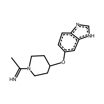 CC(=N)N1CCC(Oc2ccc3nc[nH]c3c2)CC1